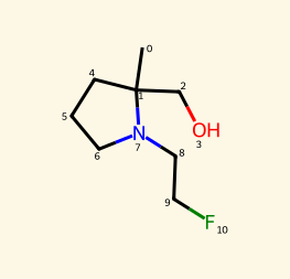 CC1(CO)CCCN1CCF